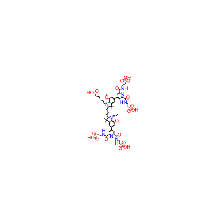 CCC[N+]1=C(/C=C/C=C2/N(CCCCCC(=O)O)c3c(OC)cc(-c4cc(C(=O)NCCS(=O)(=O)O)nc(C(=O)NCCS(=O)(=O)O)c4)cc3C2(C)C)C(C)(C)c2cc(-c3cc(C(=O)NCCS(=O)(=O)O)nc(C(=O)NCCS(=O)(=O)O)c3)cc(OC)c21